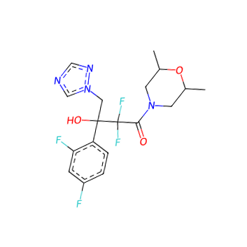 CC1CN(C(=O)C(F)(F)C(O)(Cn2cncn2)c2ccc(F)cc2F)CC(C)O1